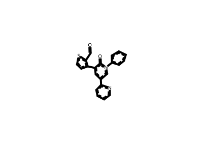 O=Cc1sccc1-c1cc(-c2ccccn2)cn(-c2ccccc2)c1=O